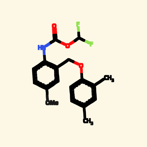 COc1ccc(NC(=O)OC(F)F)c(COc2ccc(C)cc2C)c1